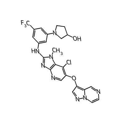 Cn1c(Nc2cc(N3CCC(O)C3)cc(C(F)(F)F)c2)nc2ncc(Oc3cnn4ccncc34)c(Cl)c21